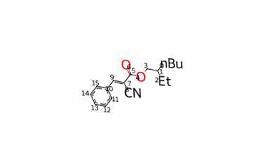 CCCCC(CC)COC(=O)/C(C#N)=C/c1ccccc1